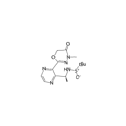 C[C@H](N[S+]([O-])C(C)(C)C)c1nccnc1C1=NN(C)C(=O)CO1